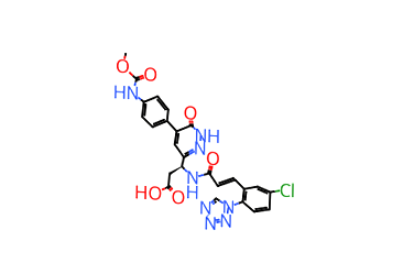 COC(=O)Nc1ccc(-c2cc([C@H](CC(=O)O)NC(=O)C=Cc3cc(Cl)ccc3-n3cnnn3)n[nH]c2=O)cc1